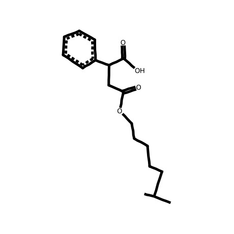 CC(C)CCCCCOC(=O)CC(C(=O)O)c1ccccc1